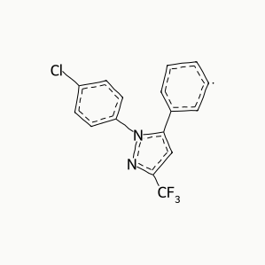 FC(F)(F)c1cc(-c2c[c]ccc2)n(-c2ccc(Cl)cc2)n1